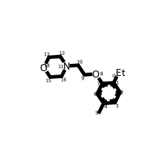 CCc1ccc(C)cc1OCCN1CCOCC1